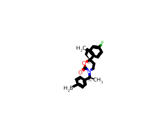 Bc1ccc([C@H](C)N2CC[C@@](CC=C)(c3ccc(F)cc3)OC2=O)cc1